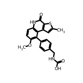 COc1ccc2[nH]c(=O)c3sc(C)cc3c2c1-c1ccc(CNC(=O)O)cc1